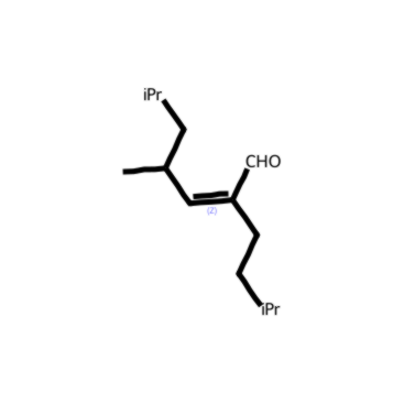 CC(C)CC/C(C=O)=C/C(C)CC(C)C